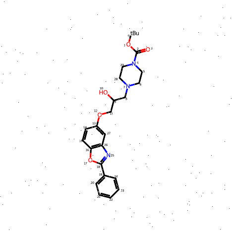 CC(C)(C)OC(=O)N1CCN(CC(O)COc2ccc3oc(-c4ccccc4)nc3c2)CC1